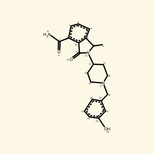 CC1c2cccc(C(N)=O)c2C(=O)N1C1CCN(Cc2cccc(O)c2)CC1